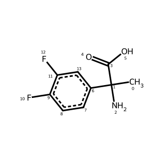 CC(N)(C(=O)O)c1ccc(F)c(F)c1